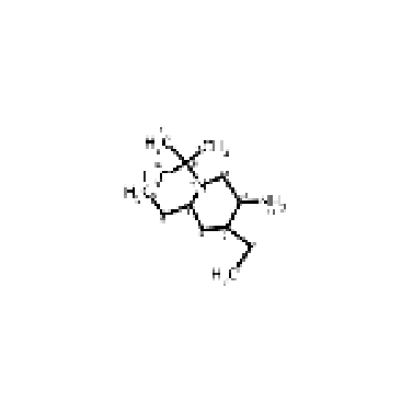 CCC1CC(CC)N(C(C)(C)C)CC1N